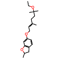 CCOC(C)(C)CC/C(C)=C/COc1ccc2c(c1)OC(C)C2